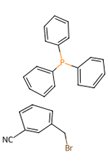 N#Cc1cccc(CBr)c1.c1ccc(P(c2ccccc2)c2ccccc2)cc1